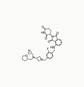 CCN(CC1CCCO1)C1CN(Cc2ccc(CNc3cccc4c3C(=O)N(C3CCC(=O)NC3=O)C4=O)c(F)c2)C1